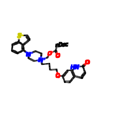 CCCCCCCCCCC(=O)OC[N+]1(CCCCOc2ccc3ccc(=O)[nH]c3c2)CCN(c2cccc3sccc23)CC1